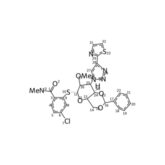 CNC(=O)c1ccc(Cl)cc1S[C@H]1OC2COC(c3ccccc3)O[C@@H]2C(n2cc(-c3nccs3)nn2)C1OC